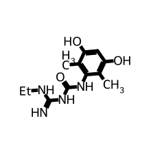 CCNC(=N)NC(=O)Nc1c(C)c(O)cc(O)c1C